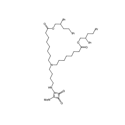 CNc1c(NCCCCN(CCCCCCCC(=O)OCC(CCC(C)C)C(C)C)CCCCCCCC(=O)OCC(CCC(C)C)C(C)C)c(=O)c1=O